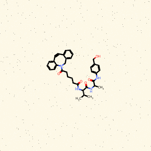 CC(NC(=O)C(NC(=O)CCCCC(=O)N1Cc2ccccc2C#Cc2ccccc21)C(C)C)C(=O)Nc1ccc(CO)cc1